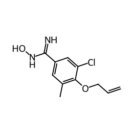 C=CCOc1c(C)cc(C(=N)NO)cc1Cl